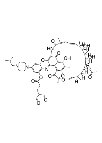 CC(=O)O[C@H]1[C@H](C)[C@H](O)[C@H](C)[C@@H](O)[C@@H](C)/C=C/C=C(/C)C(=O)Nc2c3oc4cc(N5CCN(CC(C)C)CC5)cc(OC(=O)CCC(C=O)C=O)c4nc-3c3c4c(c(C)c(O)c3c2=O)O[C@](C)(O/C=C/[C@H](C)[C@H]1C)C4=O